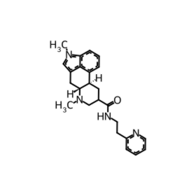 CN1CC(C(=O)NCCc2ccccn2)C[C@@H]2c3cccc4c3c(cn4C)C[C@H]21